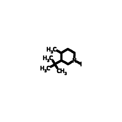 CC1CCN(I)CC1C(C)(C)C